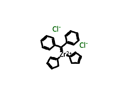 C1=CC[C]([Zr+2]([C]2=CC=CC2)=[C](c2ccccc2)c2ccccc2)=C1.[Cl-].[Cl-]